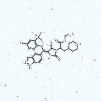 CCOC(=O)C(CC1CCNCC1)N1C(=O)S/C(=C(/Cc2ccc(Cl)cc2C(F)(F)F)c2ccc3[nH]ncc3c2)C1=O